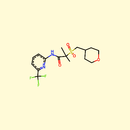 CC(C)(C(=O)Nc1cccc(C(F)(F)F)n1)S(=O)(=O)CC1CCOCC1